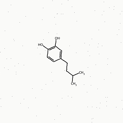 CC(C)CCc1ccc(O)c(O)c1